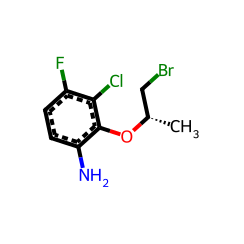 C[C@@H](CBr)Oc1c(N)ccc(F)c1Cl